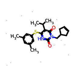 Cc1cc(C)cc(Sc2[nH]c(=O)n(CC3CC=CC3)c(=O)c2C(C)C)c1